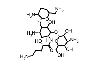 NCCC[C@H](O)C(=O)N[C@@H]1C[C@H](N)C(O[C@H]2OC(CN)CCC2N)C(O)[C@H]1O[C@H]1OC(CO)[C@H](O)[C@H](N)C1O